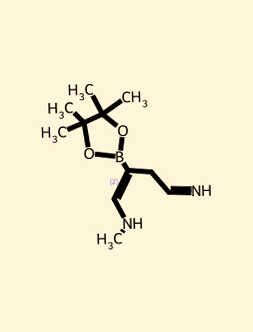 CN/C=C(\CC=N)B1OC(C)(C)C(C)(C)O1